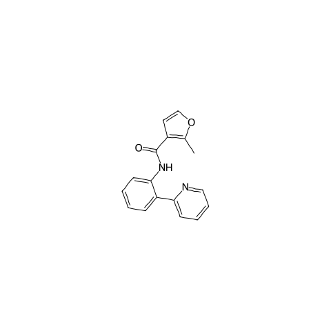 Cc1occc1C(=O)Nc1ccccc1-c1ccccn1